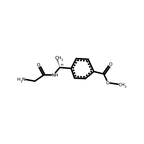 COC(=O)c1ccc([C@@H](C)NC(=O)CN)cc1